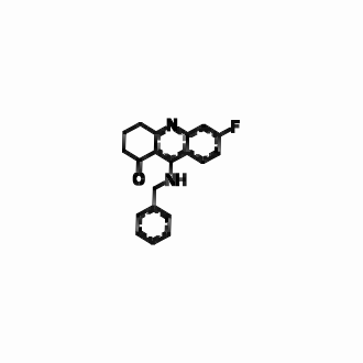 O=C1CCCc2nc3cc(F)ccc3c(NCc3ccccc3)c21